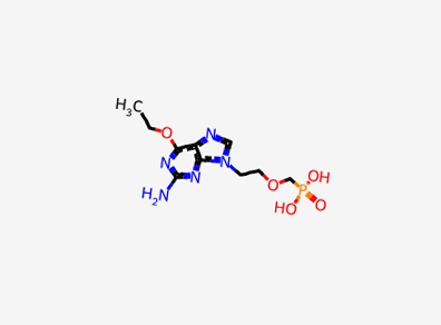 CCOc1nc(N)nc2c1ncn2CCOCP(=O)(O)O